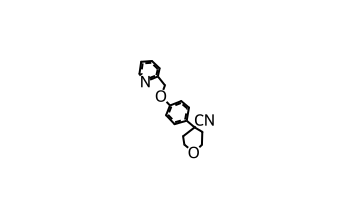 N#CC1(c2ccc(OCc3ccccn3)cc2)CCOCC1